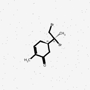 CC1=CC[C@@H]([C@](C)(Br)CBr)CC1=O